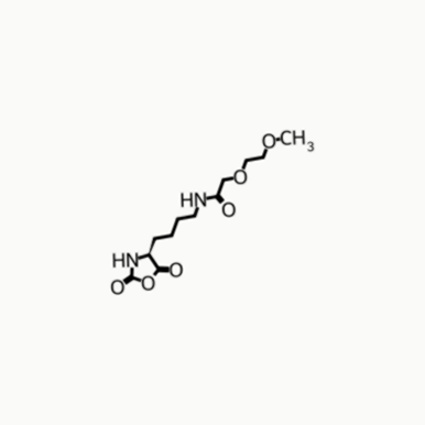 COCCOCC(=O)NCCCC[C@@H]1NC(=O)OC1=O